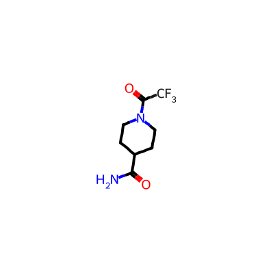 NC(=O)C1CCN(C(=O)C(F)(F)F)CC1